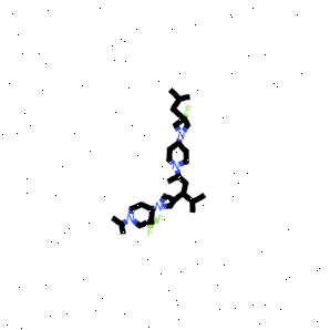 CC(C)CC1(F)CN(C2CCN(C(C)CC(C(C)C)C3CN(C4CCN(C(C)C)CC4(F)F)C3)CC2)C1